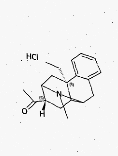 CC[C@@]12CC3[C@@H](C(C)=O)CC1C(Cc1ccccc12)N3C.Cl